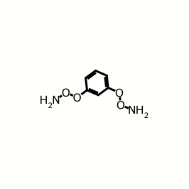 NOOc1cccc(OON)c1